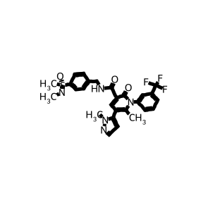 CN=S(C)(=O)c1ccc(CNC(=O)c2cc(-c3ccnn3C)c(C)n(-c3cccc(C(F)(F)F)c3)c2=O)cc1